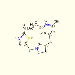 CCc1cc(CC2CCN(Cc3cnc(NC(C)=O)s3)C2)cc(C)n1